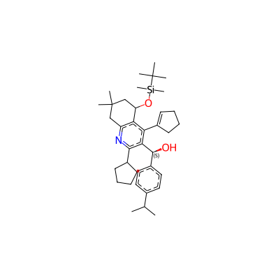 CC(C)c1ccc([C@H](O)c2c(C3CCCC3)nc3c(c2C2=CCCC2)C(O[Si](C)(C)C(C)(C)C)CC(C)(C)C3)cc1